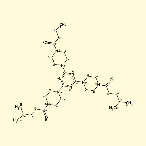 CCCC(=O)N1CCN(c2nc(N3CCN(C(=O)CCC(C)C)CC3)nc(N3CCN(C(=O)CCC(C)C)CC3)n2)CC1